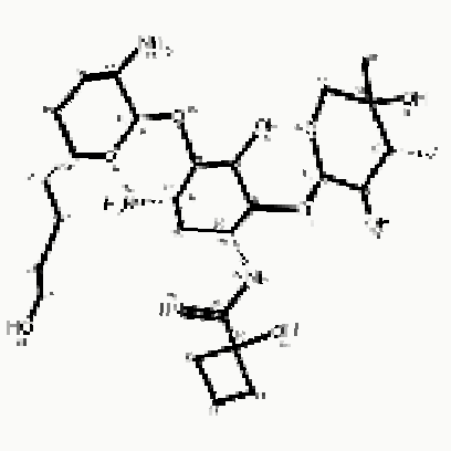 C[C@@H]1C(O)[C@@H](OC2C(O)C(O[C@H]3O[C@H](CCCCO)CCC3N)[C@@H](N)C[C@H]2NC(=N)C2(O)CCC2)OCC1(C)O